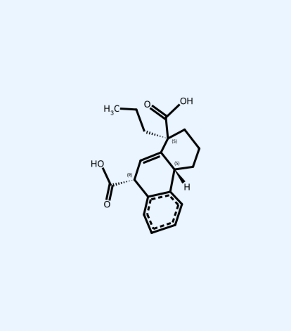 CCC[C@]1(C(=O)O)CCC[C@H]2C1=C[C@@H](C(=O)O)c1ccccc12